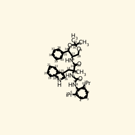 CC(C)c1cccc(C(C)C)c1NC(=O)NC(C)(Cc1c[nH]c2ccccc12)C(=O)NC1COC(C)(C)OC1c1ccccc1